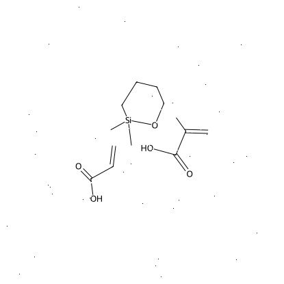 C=C(C)C(=O)O.C=CC(=O)O.C[Si]1(C)CCCCO1